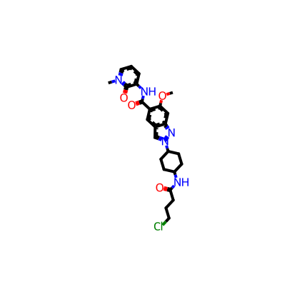 COc1cc2nn(C3CCC(NC(=O)CCCCl)CC3)cc2cc1C(=O)Nc1cccn(C)c1=O